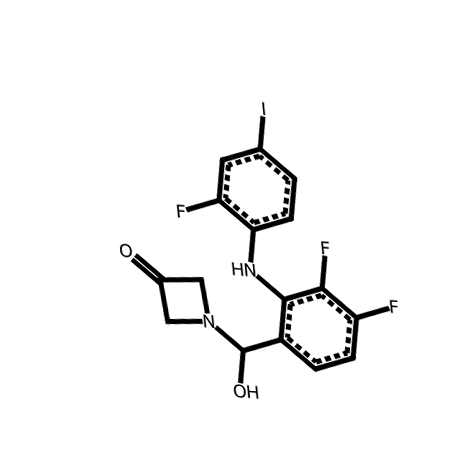 O=C1CN(C(O)c2ccc(F)c(F)c2Nc2ccc(I)cc2F)C1